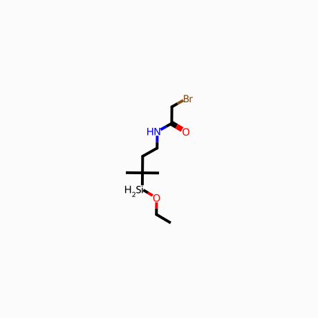 CCO[SiH2]C(C)(C)CCNC(=O)CBr